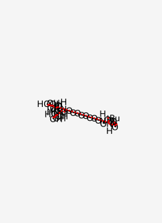 CC(C)(C)OC(=O)[C@H](CCC(=O)NCCOCCOCCOCCOCCOCCOCCOCCOCCC(=O)N[C@@H](CCC(=O)NC[C@H](O)[C@@H](O)[C@H](O)[C@H](O)CO)C(=O)NC[C@H](O)[C@@H](O)[C@H](O)[C@H](O)CO)NC(=O)CN1C(=O)C=CC1=O